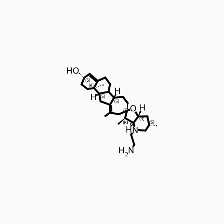 CC1=C2C[C@H]3C(CCC4=C[C@@H](O)CC[C@@]43C)[C@@H]2CC[C@@]2(C1)O[C@@H]1C[C@H](C)CN(CCN)[C@H]1[C@H]2C